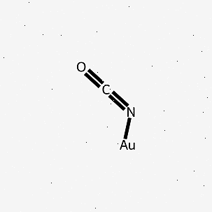 O=C=[N][Au]